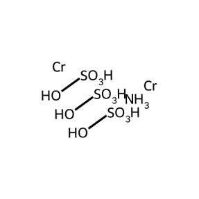 N.O=S(=O)(O)O.O=S(=O)(O)O.O=S(=O)(O)O.[Cr].[Cr]